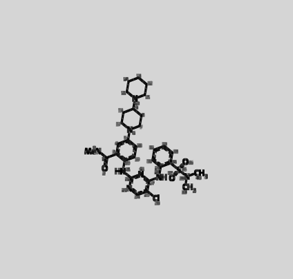 CNC(=O)c1cc(N2CCC(N3CCCCC3)CC2)ccc1Nc1ncc(Cl)c(Nc2ccccc2S(=O)(=O)N(C)C)n1